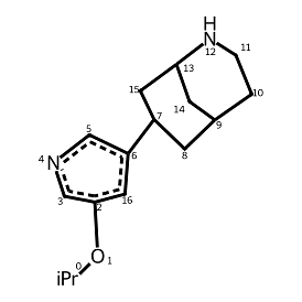 CC(C)Oc1cncc(C2CC3CCNC(C3)C2)c1